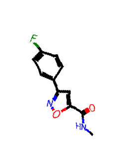 CNC(=O)c1cc(-c2ccc(F)cc2)no1